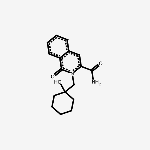 NC(=O)c1cc2[c]cccc2c(=O)n1CC1(O)CCCCC1